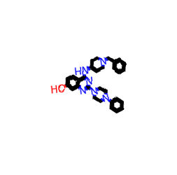 Oc1ccc2c(NC3CCN(Cc4ccccc4)CC3)nc(N3CCN(c4ccccc4)CC3)nc2c1